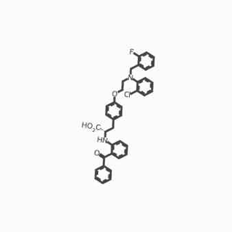 O=C(c1ccccc1)c1ccccc1N[C@@H](Cc1ccc(OCCN(Cc2ccccc2F)c2ccccc2Cl)cc1)C(=O)O